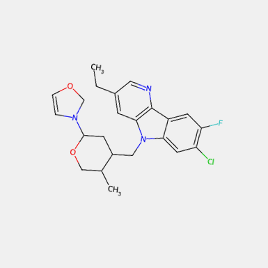 CCc1cnc2c3cc(F)c(Cl)cc3n(CC3CC(N4C=COC4)OCC3C)c2c1